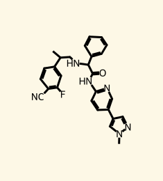 CC(CNC(C(=O)Nc1ccc(-c2cnn(C)c2)cn1)c1ccccc1)c1ccc(C#N)c(F)c1